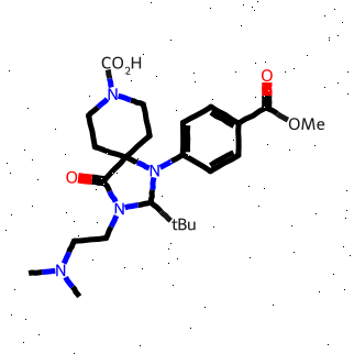 COC(=O)c1ccc(N2C(C(C)(C)C)N(CCN(C)C)C(=O)C23CCN(C(=O)O)CC3)cc1